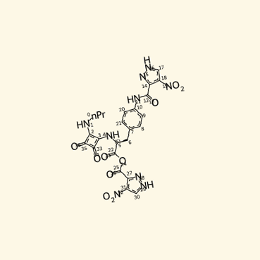 CCCNc1c(N[C@@H](Cc2ccc(NC(=O)c3n[nH]cc3[N+](=O)[O-])cc2)C(=O)OC(=O)c2n[nH]cc2[N+](=O)[O-])c(=O)c1=O